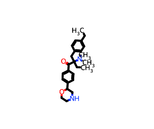 CCc1ccc(CC(CC)(C(=O)c2ccc(C3CNCCO3)cc2)N(C)C)cc1